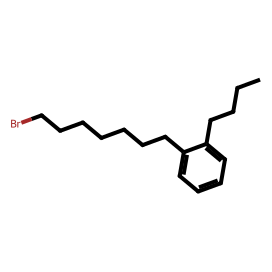 CCCCc1ccccc1CCCCCCCBr